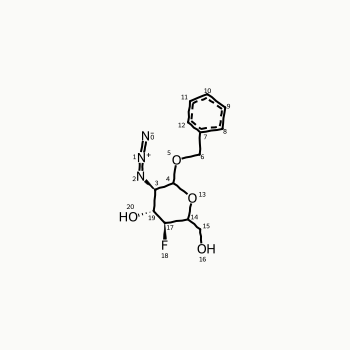 [N-]=[N+]=N[C@H]1C(OCc2ccccc2)OC(CO)[C@@H](F)[C@@H]1O